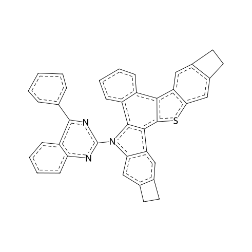 c1ccc(-c2nc(-n3c4cc5c(cc4c4c6sc7cc8c(cc7c6c6ccccc6c43)CC8)CC5)nc3ccccc23)cc1